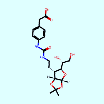 CC1(C)O[C@H]2O[C@H]([C@H](O)CO)[C@@H](CCNC(=O)Nc3ccc(CC(=O)O)cc3)[C@H]2O1